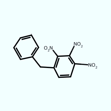 O=[N+]([O-])c1ccc(Cc2c[c]ccc2)c([N+](=O)[O-])c1[N+](=O)[O-]